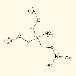 O=[N+]([O-])OCC(CO[N+](=O)[O-])(CO[N+](=O)O)[N+](=O)[O-]